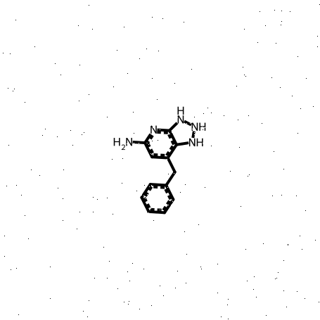 Nc1cc(Cc2ccccc2)c2c(n1)NNN2